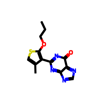 CCCOc1scc(C)c1C1=NC(=O)C2=NC=NC2=N1